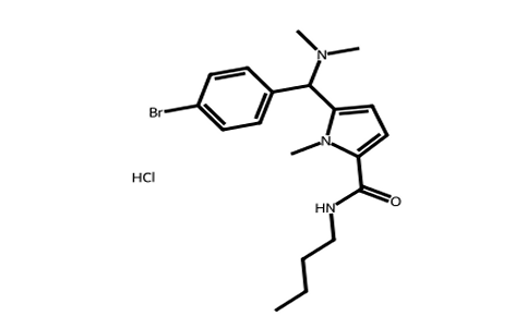 CCCCNC(=O)c1ccc(C(c2ccc(Br)cc2)N(C)C)n1C.Cl